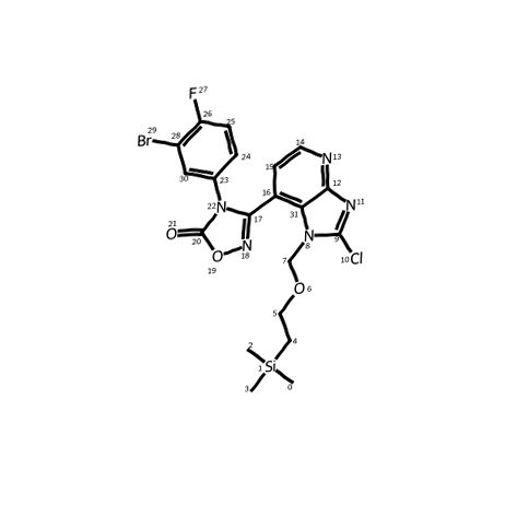 C[Si](C)(C)CCOCn1c(Cl)nc2nccc(-c3noc(=O)n3-c3ccc(F)c(Br)c3)c21